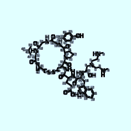 CNCCN(CCNC)C[C@H](O)N[C@@H](Cc1c[nH]c2ccccc12)C(=O)N[C@@H](CCC(=O)O)C(=O)N[C@H]1CSSC[C@@H](C)NC(=O)[C@H](CC(C)C)NC(=O)CNC(=O)[C@H](Cc2ccc(O)cc2)NC(=O)C2CCCN2C1=O